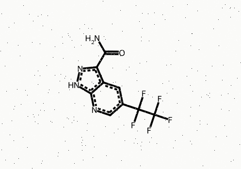 NC(=O)c1n[nH]c2ncc(C(F)(F)C(F)(F)F)cc12